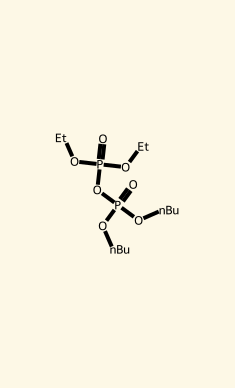 CCCCOP(=O)(OCCCC)OP(=O)(OCC)OCC